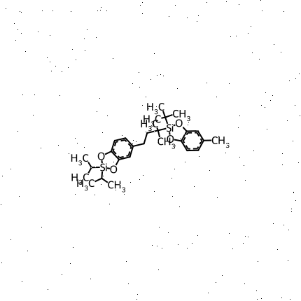 Cc1ccc2c(c1)O[Si](C(C)(C)C)(C(C)(C)CCc1ccc3c(c1)O[Si](C(C)C)(C(C)C)O3)O2